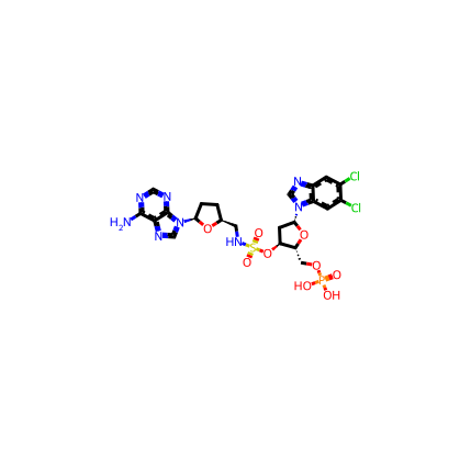 Nc1ncnc2c1ncn2[C@H]1CC[C@@H](CNS(=O)(=O)O[C@H]2C[C@H](n3cnc4cc(Cl)c(Cl)cc43)O[C@@H]2COP(=O)(O)O)O1